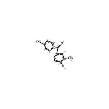 CCc1ccc(C(=O)c2ccc(F)c(C#N)c2)cc1